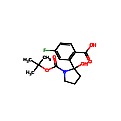 CC(C)(C)OC(=O)N1CCCC1(O)c1cc(F)ccc1C(=O)O